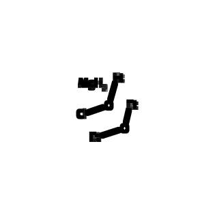 CCOCC.CCOCl.[MgH2]